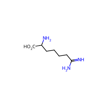 N=C(N)CCCCC(N)C(=O)O